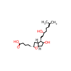 CC(C)=CCC[C@H](O)/C=C/[C@H]1C(O)C[C@@H]2O[C@H](CCCCC(=O)O)C[C@@H]21